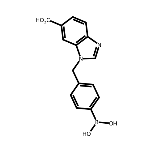 O=C(O)c1ccc2ncn(Cc3ccc(B(O)O)cc3)c2c1